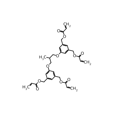 C=CC(=O)OCc1cc(COC(=O)C=C)cc(OCC(C)COc2cc(COC(=O)C=C)cc(COC(=O)C=C)c2)c1